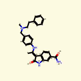 CC(Nc1ccc(CN(C)CCc2ccccc2)cc1)=C1C(=O)Nc2cc(C(N)=O)ccc21